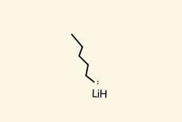 [CH]CCCCC.[LiH]